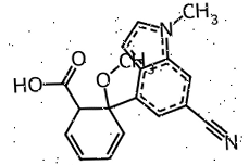 COC1(c2cc(C#N)cc3c2ccn3C)C=CC=CC1C(=O)O